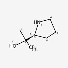 CC(O)([C@@H]1CCCN1)C(F)(F)F